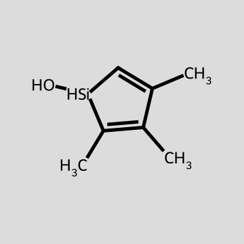 CC1=C[SiH](O)C(C)=C1C